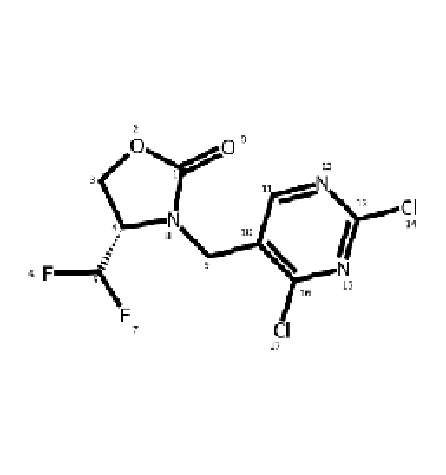 O=C1OC[C@@H](C(F)F)N1Cc1cnc(Cl)nc1Cl